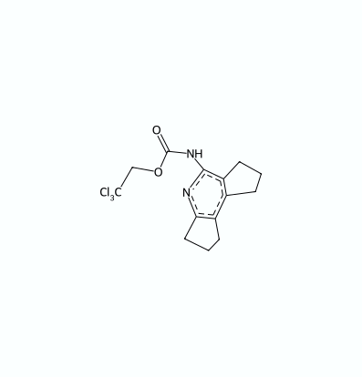 O=C(Nc1nc2c(c3c1CCC3)CCC2)OCC(Cl)(Cl)Cl